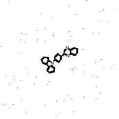 c1ccc2nc(-c3ccc(-n4c5ccccc5c5ccccc54)cc3)cnc2c1